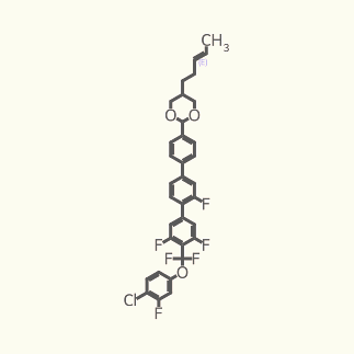 C/C=C/CCC1COC(c2ccc(-c3ccc(-c4cc(F)c(C(F)(F)Oc5ccc(Cl)c(F)c5)c(F)c4)c(F)c3)cc2)OC1